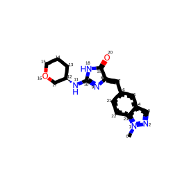 Cn1ncc2cc(/C=C3\N=C(N[C@H]4CCCOC4)NC3=O)ccc21